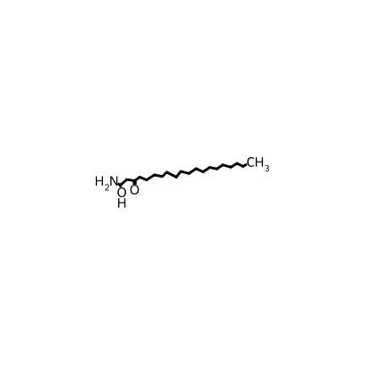 CCCCCCCCCCCCCCCCCC(=O)CC(N)O